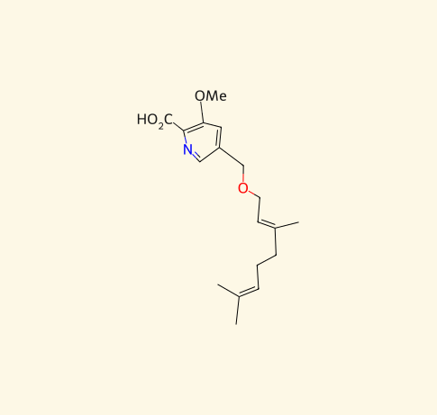 COc1cc(COC/C=C(\C)CCC=C(C)C)cnc1C(=O)O